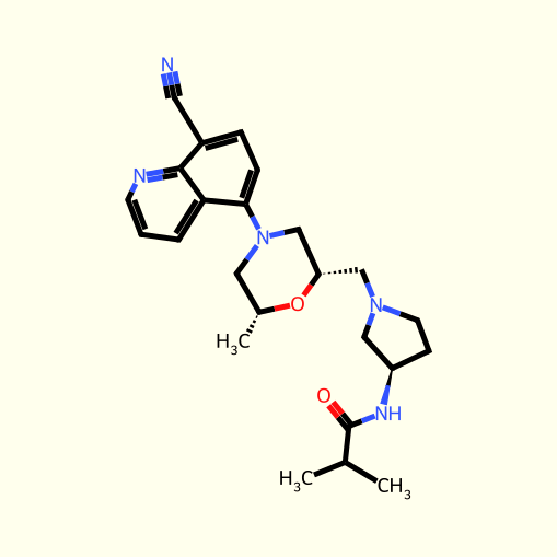 CC(C)C(=O)N[C@@H]1CCN(C[C@H]2CN(c3ccc(C#N)c4ncccc34)C[C@@H](C)O2)C1